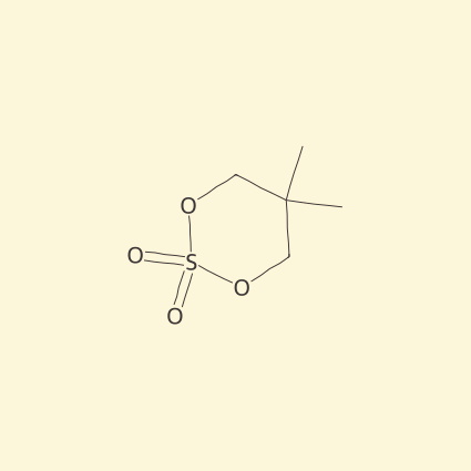 CC1(C)COS(=O)(=O)OC1